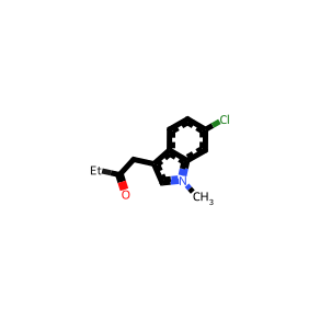 CCC(=O)Cc1cn(C)c2cc(Cl)ccc12